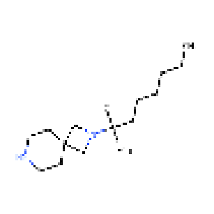 CCCCCCC(C)(C)N1CC2(CCNCC2)C1